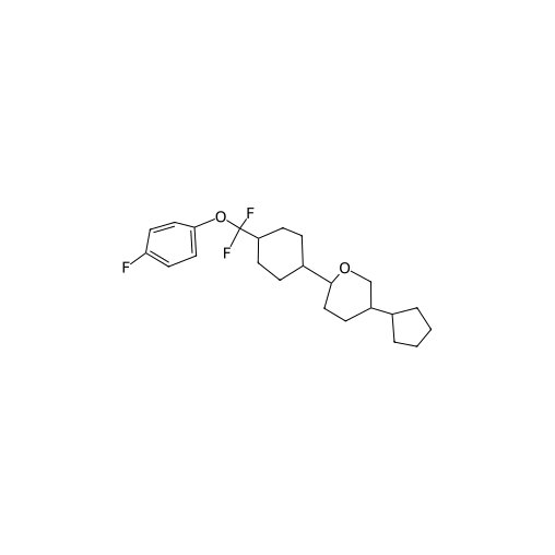 Fc1ccc(OC(F)(F)C2CCC(C3CCC(C4CCCC4)CO3)CC2)cc1